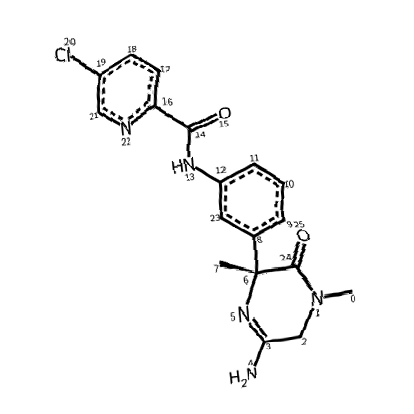 CN1CC(N)=N[C@](C)(c2cccc(NC(=O)c3ccc(Cl)cn3)c2)C1=O